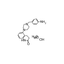 Cl.Cl.Nc1ccc(CN2CCN(c3cccc4c3CCC(=O)N4)CC2)cc1.O